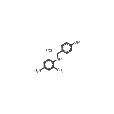 Cc1cc(N)ccc1NCc1ccc(O)cc1.Cl